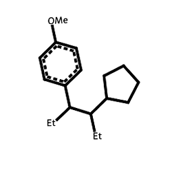 CCC(c1ccc(OC)cc1)C(CC)C1CCCC1